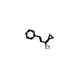 CCC(C=Cc1ccccc1)=C1CC1